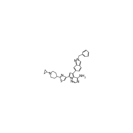 Nc1ncnn2c(-c3csc(C4CCN(C5CC5)CC4)n3)cc(-c3ccc4cn(Cc5ccccc5)nc4c3)c12